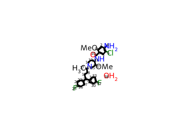 COc1cc(N)c(Cl)cc1C(=O)NC1CCN(C(C)CCC(c2ccc(F)cc2)c2ccc(F)cc2)CC1OC.O